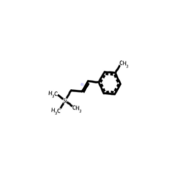 Cc1cccc(/C=C/C[Si](C)(C)C)c1